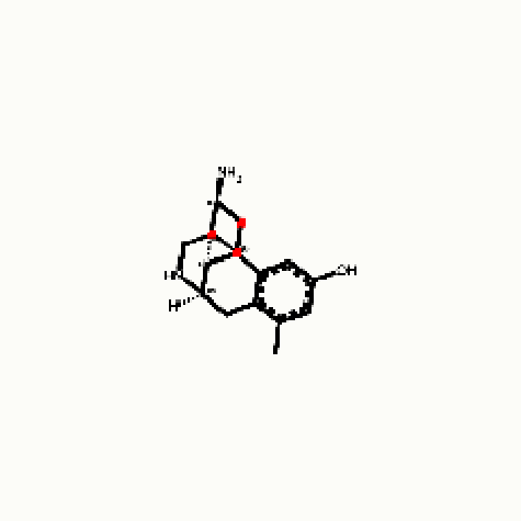 Cc1cc(O)cc2c1C[C@H]1NCC[C@@]23C[C@@]2(N)CC[C@@]13OC2